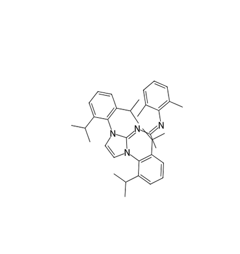 CC(=Nc1c(C)cccc1C)N=c1n(-c2c(C(C)C)cccc2C(C)C)ccn1-c1c(C(C)C)cccc1C(C)C